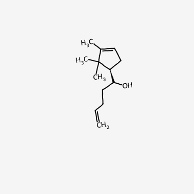 C=CCCC(O)[C@@H]1CC=C(C)C1(C)C